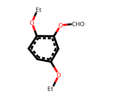 CCOc1ccc(OCC)c(O[C]=O)c1